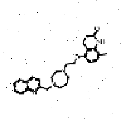 Cc1ccc(OCCN2CCCN(Cc3ccc4ccccc4n3)CC2)c2c1NC(=O)CC2